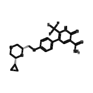 NC(=O)c1cc(-c2ccc(OC[C@H]3COC[C@@H](C4CC4)O3)cc2)c(C(F)(F)F)[nH]c1=O